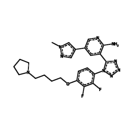 Cn1cc(-c2cnc(N)c(-c3nnnn3-c3ccc(OCCCCN4CCCC4)c(F)c3F)c2)cn1